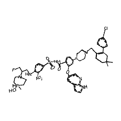 CC1(C)CCC(CN2CCN(c3ccc(C(=O)NS(=O)(=O)c4ccc(NCC(CF)N5CC[PH](C)(O)CC5)c([N+](=O)[O-])c4)c(Oc4cnc5[nH]ccc5c4)c3)CC2)=C(c2ccc(Cl)cc2)C1